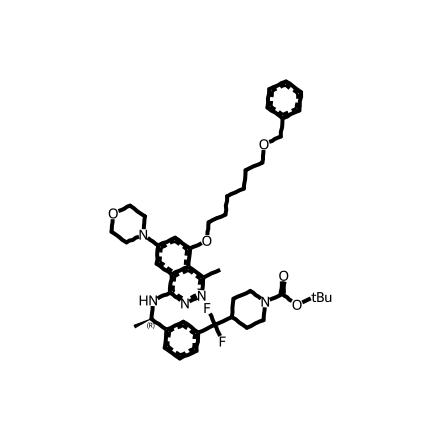 Cc1nnc(N[C@H](C)c2cccc(C(F)(F)C3CCN(C(=O)OC(C)(C)C)CC3)c2)c2cc(N3CCOCC3)cc(OCCCCCCOCc3ccccc3)c12